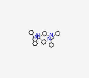 c1ccc(-c2cc(-c3ccccc3)nc(-c3cccc(-c4nn5c(-c6ccccc6)cc6ccccc6c5c4-c4ccccc4)c3)n2)cc1